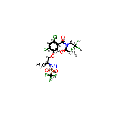 CC(=O)N(CC(F)(F)F)C(=O)c1cc(OCC(C)NS(=O)(=O)C(F)(F)F)c(F)cc1Cl